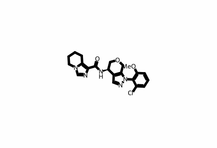 COc1cccc(Cl)c1-n1ncc2c1COC[C@@H]2NC(=O)c1ncn2c1CCCC2